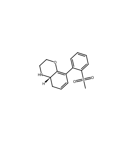 CS(=O)(=O)c1ccccc1C1=C2OCCN[C@H]2CC=C1